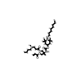 C=CC(=O)OCC(C)(COC(=O)CCN(C)CCCC)NC(=O)OC1CC(C)(C)N(OCCCCCCCC)C(C)(C)C1